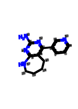 Nc1nc2c(c(-c3cccnc3)n1)CCCCN2